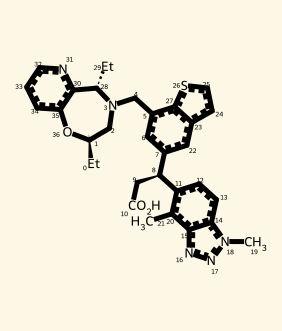 CC[C@@H]1CN(Cc2cc([C@H](CC(=O)O)c3ccc4c(nnn4C)c3C)cc3ccsc23)[C@@H](CC)c2ncccc2O1